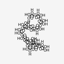 OC[C@@H]1O[C@@H](O[C@H]2[C@H](O[C@@H]3CO[C@@H](O[C@@H]4CO[C@@H](O[C@@H]5CO[C@@H](O[C@@H]6CO[C@@H](O[C@@H]7CO[C@@H](O[C@@H]8CO[C@@H](O[C@@H]9CO[C@@H](O[C@@H]%10CO[C@@H](O[C@@H]%11COC(O[C@@H]%12COC(O)[C@H](O)[C@H]%12O)[C@H](O)[C@H]%11O)[C@H](O)[C@H]%10O)[C@H](O)[C@H]9O)[C@H](O)[C@H]8O)[C@H](O)[C@H]7O)[C@H](O)[C@H]6O)[C@H](O)[C@H]5O)[C@H](O)[C@H]4O)[C@H](O)[C@H]3O)OC[C@@H](O[C@@H]3OC[C@@H](O)[C@H](O)[C@H]3O)[C@@H]2O)[C@H](O)[C@H]1O